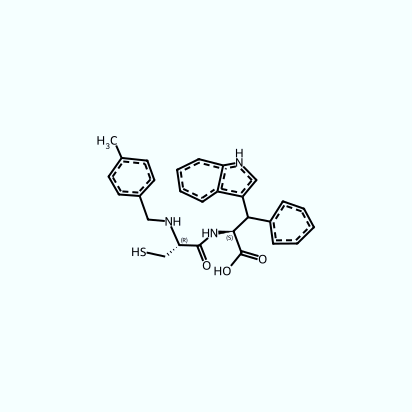 Cc1ccc(CN[C@@H](CS)C(=O)N[C@H](C(=O)O)C(c2ccccc2)c2c[nH]c3ccccc23)cc1